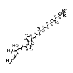 CC#CCC(C)C(O)/C=C/C1CCC2Oc3c(CCCC(=O)OCCCCOC(=O)CCO[N+](=O)[O-])cccc3C12